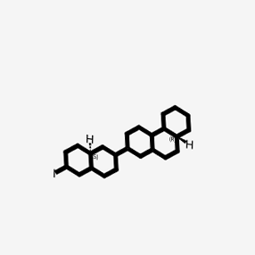 IC1CC[C@H]2CC(C3CCC4C(CC[C@H]5CCCCC45)C3)CCC2C1